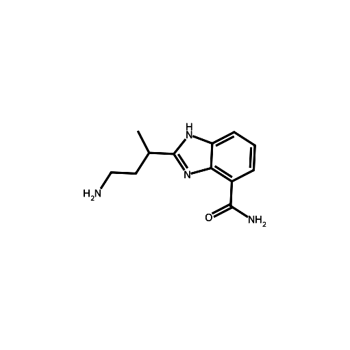 CC(CCN)c1nc2c(C(N)=O)cccc2[nH]1